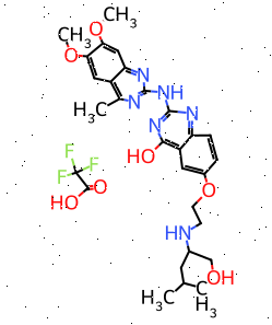 COc1cc2nc(Nc3nc(O)c4cc(OCCNC(CO)CC(C)C)ccc4n3)nc(C)c2cc1OC.O=C(O)C(F)(F)F